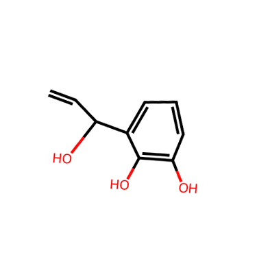 C=CC(O)c1cccc(O)c1O